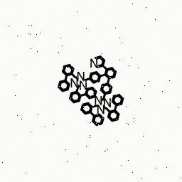 c1ccc(-c2ccccc2-c2nc(-c3ccc(-c4cccc(-c5cccnc5)c4-c4ccc(-c5nc(-c6ccccc6-c6ccccc6)nc(-c6ccccc6-c6ccccc6)n5)cc4)cc3)nc(-c3ccccc3-c3ccccc3)n2)cc1